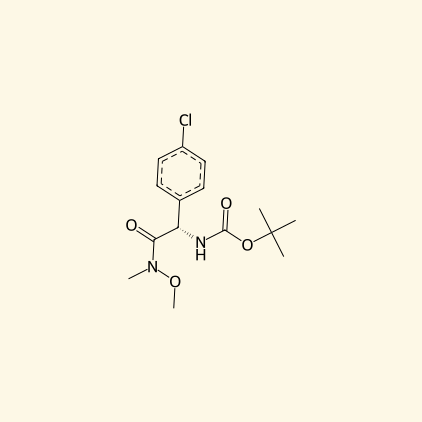 CON(C)C(=O)[C@@H](NC(=O)OC(C)(C)C)c1ccc(Cl)cc1